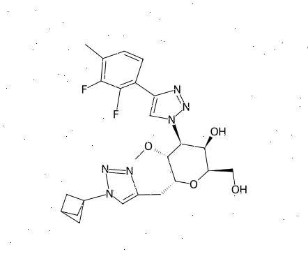 CO[C@@H]1[C@@H](n2cc(-c3ccc(C)c(F)c3F)nn2)[C@@H](O)[C@@H](CO)O[C@@H]1Cc1cn(C23CC(C2)C3)nn1